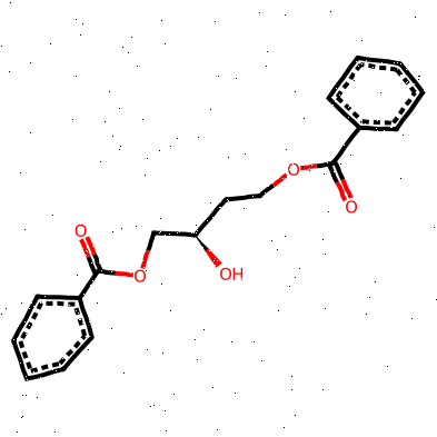 O=C(OCC[C@@H](O)COC(=O)c1ccccc1)c1ccccc1